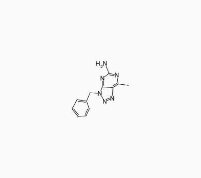 Cc1nc(N)nc2c1nnn2Cc1ccccc1